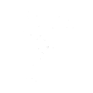 CCCSC1CC(C(=O)OCCOC(=O)CCN(CCCN(C)CCCN(CCC(=O)OCCOC(=O)C2CCC(CCC(SCCC(C)C)C(C)C)C(SCCC)C2)CCC(=O)OCCOC(=O)C2CCC(CCC(SCCC(C)C)C(C)C)C(SCCC(C)C)C2)CCC(=O)OCCOC(=O)C2CCC(CCC(C)C(C)C)C(SCCC)C2)CCC1CCC(C)C(C)C